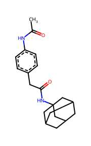 CC(=O)Nc1ccc(CC(=O)NC23CC4CC(CC(C4)C2)C3)cc1